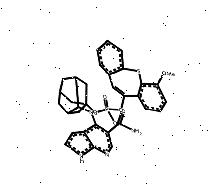 COc1cccc2c1Sc1ccccc1C=C2OP(=O)(O)OC12CC3CC(C1)C(Nc1c(C(N)=O)cnc4[nH]ccc14)C(C3)C2